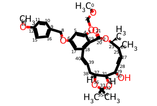 COCOc1cc(OCc2ccc(OC)cc2)cc2c1C(=O)O[C@@H](C)[C@H](C)/C=C\C(O)[C@H]1OC(C)(C)O[C@H]1C/C=C/2